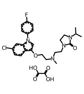 CC(C)N1CCN(CCN(C)CCOc2cn(-c3ccc(F)cc3)c3cc(Cl)ccc23)C1=O.O=C(O)C(=O)O